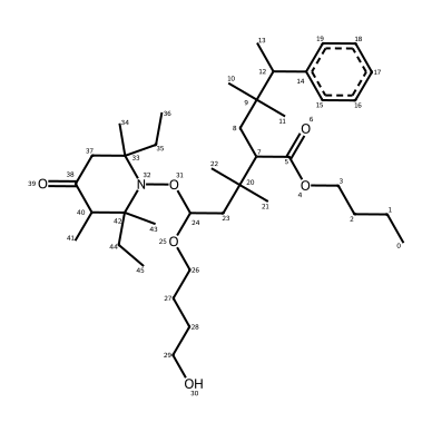 CCCCOC(=O)C(CC(C)(C)C(C)c1ccccc1)C(C)(C)CC(OCCCCO)ON1C(C)(CC)CC(=O)C(C)C1(C)CC